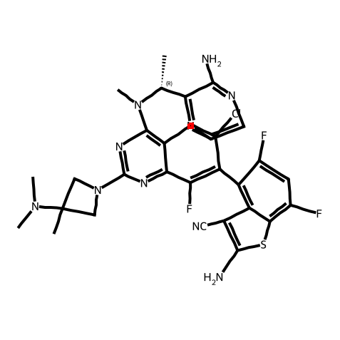 C[C@H](c1nccnc1N)N(C)c1nc(N2CC(C)(N(C)C)C2)nc2c(F)c(-c3c(F)cc(F)c4sc(N)c(C#N)c34)c(Cl)cc12